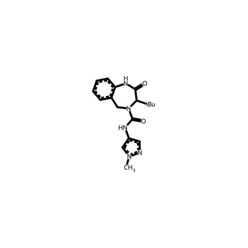 CCC(C)C1C(=O)Nc2ccccc2CN1C(=O)Nc1cnn(C)c1